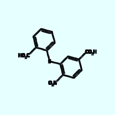 O=C(O)c1ccc([N+](=O)[O-])c(Sc2ccccc2C(=O)O)c1